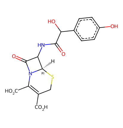 O=C(O)C1=C(C(=O)O)N2C(=O)C(NC(=O)C(O)c3ccc(O)cc3)[C@H]2SC1